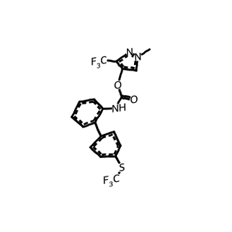 Cn1cc(OC(=O)Nc2ccccc2-c2ccc(SC(F)(F)F)cc2)c(C(F)(F)F)n1